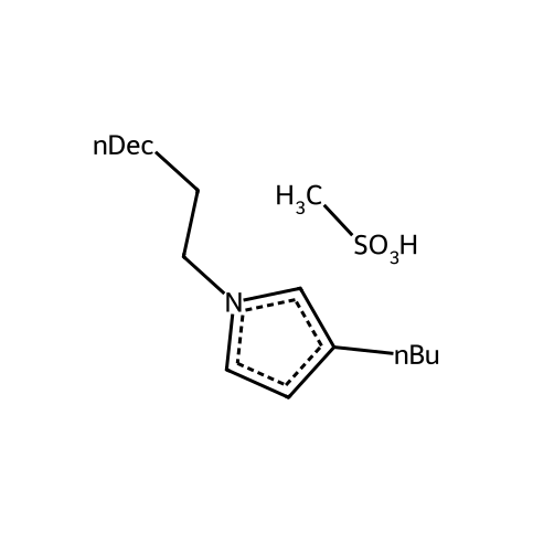 CCCCCCCCCCCCn1ccc(CCCC)c1.CS(=O)(=O)O